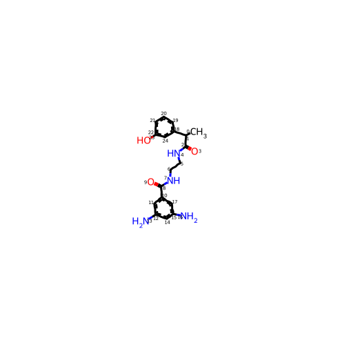 CC(C(=O)NCCNC(=O)c1cc(N)cc(N)c1)c1cccc(O)c1